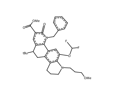 COCCCN1CCCc2c3c(cc(OC(F)F)c21)-c1c(cc(C(=O)OC)c(=O)n1Cc1ccccc1)C(C(C)(C)C)C3